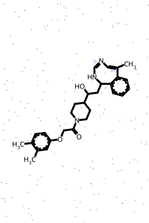 C/C1=C\N=C/NC(CC(O)C2CCN(C(=O)COc3ccc(C)c(C)c3)CC2)c2ccccc21